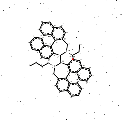 CCCC[P@@]1Cc2ccc3ccccc3c2-c2c(ccc3ccccc23)[C@@H]1[C@H]1c2ccc3ccccc3c2-c2c(ccc3ccccc23)C[P@]1C(C)CC